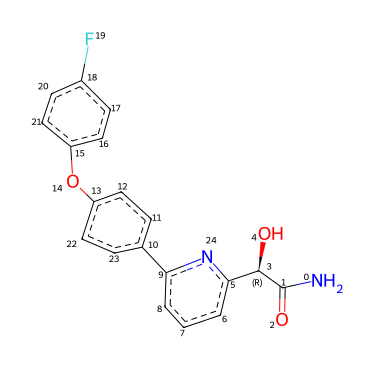 NC(=O)[C@H](O)c1cccc(-c2ccc(Oc3ccc(F)cc3)cc2)n1